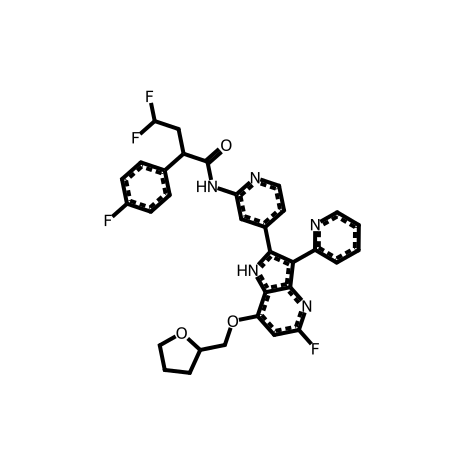 O=C(Nc1cc(-c2[nH]c3c(OCC4CCCO4)cc(F)nc3c2-c2ccccn2)ccn1)C(CC(F)F)c1ccc(F)cc1